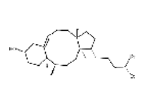 CC[C@H](CCC[C@H]1CC[C@H]2CC/C=C3/C[C@@H](O)CC[C@]3(C)[C@H](C)CC[C@@]21C)C(C)C